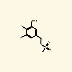 COc1cc(COS(C)(=O)=O)cc(F)c1F